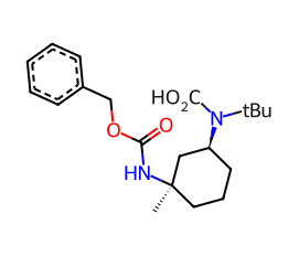 CC(C)(C)N(C(=O)O)[C@H]1CCC[C@@](C)(NC(=O)OCc2ccccc2)C1